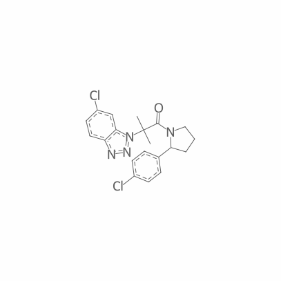 CC(C)(C(=O)N1CCCC1c1ccc(Cl)cc1)n1nnc2ccc(Cl)cc21